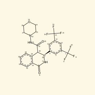 O=C1N[C@H](c2cc(C(F)(F)F)cc(C(F)(F)F)c2)C(C(=O)NN2CCOCC2)c2ccccc21